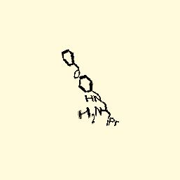 CC(C)CC(N)CNCc1ccc(OCc2ccccc2)cc1